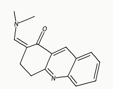 CN(C)C=C1CCc2nc3ccccc3cc2C1=O